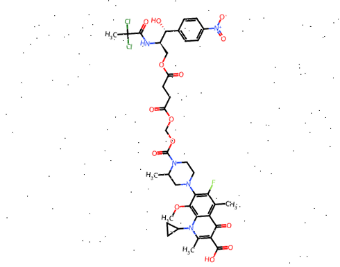 COc1c(N2CCN(C(=O)OCOC(=O)CCC(=O)OC[C@@H](NC(=O)C(C)(Cl)Cl)[C@H](O)c3ccc([N+](=O)[O-])cc3)C(C)C2)c(F)c(C)c2c(=O)c(C(=O)O)c(C)n(C3CC3)c12